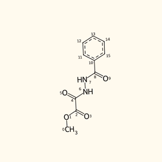 COC(=O)C(=O)NNC(=O)c1ccccc1